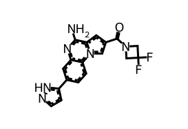 Nc1nc2cc(-c3ccn[nH]3)ccc2n2cc(C(=O)N3CC(F)(F)C3)cc12